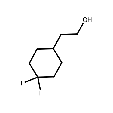 OCCC1CCC(F)(F)CC1